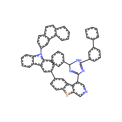 c1ccc(-c2cccc(C3=NC(c4cncc5sc6ccc(-c7ccc8c(c7)c7ccccc7n8-c7ccc8ccc9ccccc9c8c7)cc6c45)=NC(c4ccccc4)N3)c2)cc1